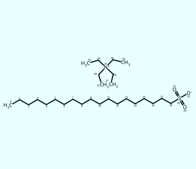 CCCCCCCCCCCCCCCCCCCS(=O)(=O)[O-].CC[N+](CC)(CC)CC